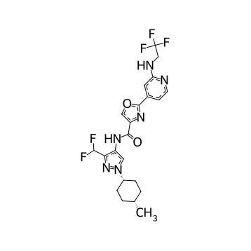 C[C@H]1CC[C@@H](n2cc(NC(=O)c3coc(-c4ccnc(NCC(F)(F)F)c4)n3)c(C(F)F)n2)CC1